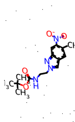 Cc1cc2cn(CCNC(=O)OC(C)(C)C)nc2cc1[N+](=O)[O-]